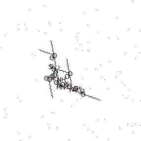 CCCCCCCCCCCOC(=O)CCCC(CN(CCCCNC(=O)CN(C)CC(=O)NCCCCN(CC(CCCCCC(=O)OC(CCCCCCCC)CCCCCCCC)O[Si](C)(C)C(C)(C)C)CC(CCCC(=O)OCCCCCCCCCCC)O[Si](C)(C)C(C)(C)C)CC(CCCCCC(=O)OC(CCCCCCCC)CCCCCCCC)O[Si](C)(C)C(C)(C)C)O[Si](C)(C)C(C)(C)C